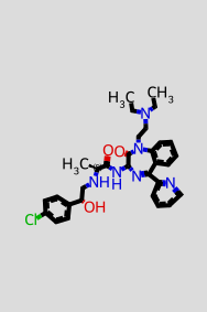 CCN(CC)CCN1C(=O)C(NC(=O)[C@H](C)NCC(O)c2ccc(Cl)cc2)N=C(c2ccccn2)c2ccccc21